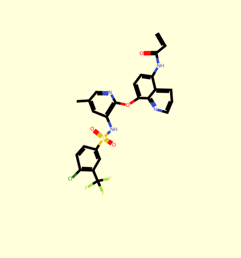 C=CC(=O)Nc1ccc(Oc2ncc(C)cc2NS(=O)(=O)c2ccc(Cl)c(C(F)(F)F)c2)c2ncccc12